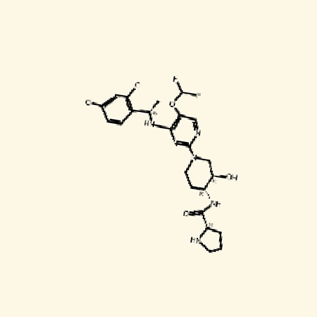 C[C@@H](Nc1nc(N2CC[C@@H](NC(=O)[C@H]3CCCN3)[C@H](O)C2)ncc1OC(F)F)c1ccc(Cl)cc1Cl